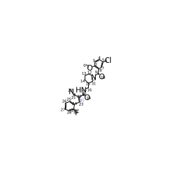 COc1ccc(Cl)cc1C(=O)N1CCCC(CNC(=O)/C(C#N)=C/c2ccccc2F)C1